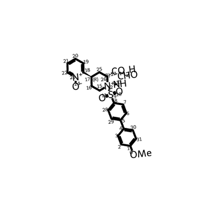 COc1ccc(-c2ccc(S(=O)(=O)[N+]3(NC=O)CC[C@@H](c4cccc[n+]4[O-])C[C@@H]3C(=O)O)cc2)cc1